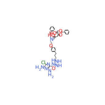 N=C(NCCCCc1ccc(OCCN(CCCc2ccccc2)C[C@H](O)C[C@@H]2OC(c3ccccc3)OC[C@H]2O)cc1)NC(=O)c1nc(Cl)c(N)nc1N